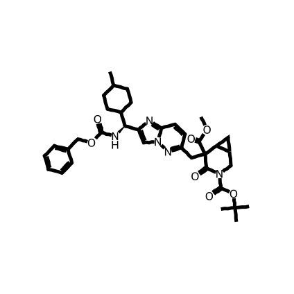 COC(=O)C1(Cc2ccc3nc([C@@H](NC(=O)OCc4ccccc4)C4CCC(C)CC4)cn3n2)C(=O)N(C(=O)OC(C)(C)C)CC2CC21